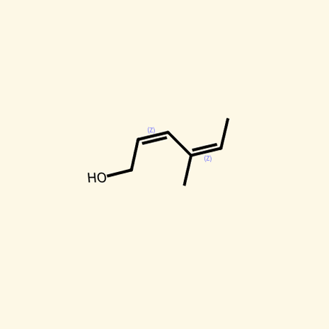 C/C=C(C)\C=C/CO